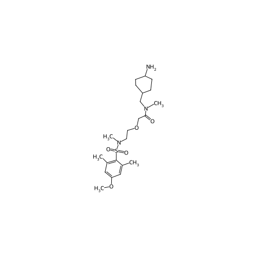 COc1cc(C)c(S(=O)(=O)N(C)CCOCC(=O)N(C)CC2CCC(N)CC2)c(C)c1